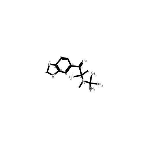 BC(B)(B)N(C)C(B)(C)C(=O)c1ccc2c(c1)OCO2